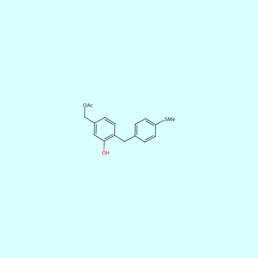 CSc1ccc(Cc2ccc(COC(C)=O)cc2O)cc1